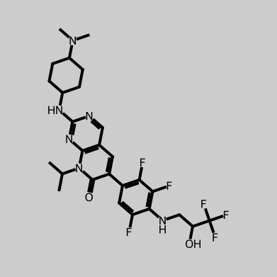 CC(C)n1c(=O)c(-c2cc(F)c(NCC(O)C(F)(F)F)c(F)c2F)cc2cnc(NC3CCC(N(C)C)CC3)nc21